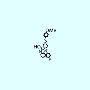 COc1ccc(CCN2CCC([N+]3(Cc4ccc(F)cc4)C(CO)=Nc4ncccc43)CC2)cc1